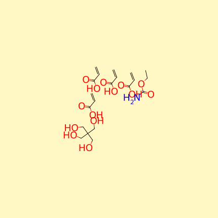 C=CC(=O)O.C=CC(=O)O.C=CC(=O)O.C=CC(=O)O.CCOC(N)=O.OCC(CO)(CO)CO